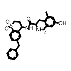 Cc1cc(O)cc(C)c1CC(N)C(=O)NC1CCS(=O)(=O)c2ccc(Cc3ccccc3)cc21